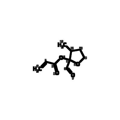 C=CC(=O)OC1(C=O)OCCC1C